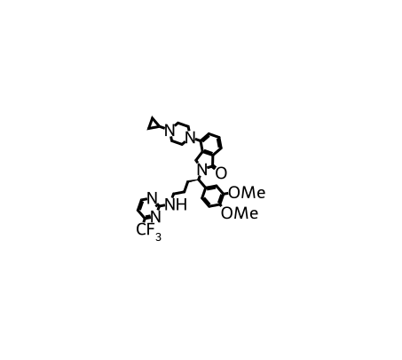 COc1ccc([C@@H](CCCNc2nccc(C(F)(F)F)n2)N2Cc3c(cccc3N3CCN(C4CC4)CC3)C2=O)cc1OC